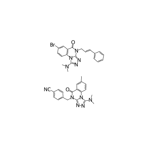 CN(C)c1nnc2n(CC=Cc3ccccc3)c(=O)c3cc(Br)ccc3n12.Cc1ccc2c(c1)c(=O)n(Cc1ccc(C#N)cc1)c1nnc(N(C)C)n21